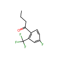 CCCC(=O)c1ccc(F)cc1C(F)(F)F